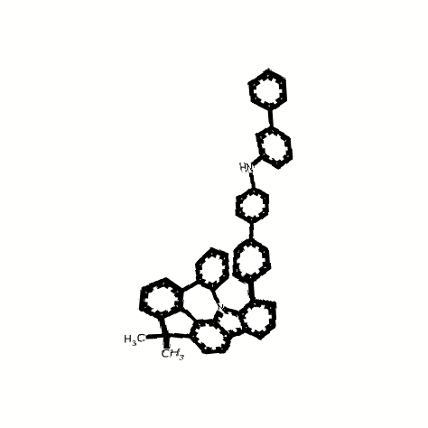 CC1(C)c2cccc3c2-c2c1ccc1c4cccc(-c5ccc(-c6ccc(Nc7cccc(-c8ccccc8)c7)cc6)cc5)c4n(c21)-c1ccccc1-3